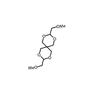 COCC1OCC2(CO1)COC(COC)OC2